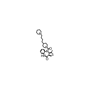 Cc1scc2c1N(C(=O)N1CCC(CCCCN3CCCCC3)CC1)c1ccccc1NC2=O